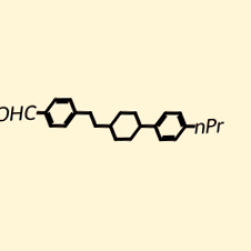 CCCc1ccc(C2CCC(CCc3ccc(C=O)cc3)CC2)cc1